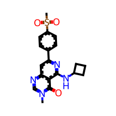 Cn1cnc2cc(-c3ccc(S(C)(=O)=O)cc3)nc(NC3CCC3)c2c1=O